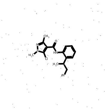 Cc1nn(C)c(Cl)c1C(=O)Nc1ccccc1C(C)CC(C)C